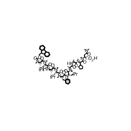 CC(C)C[C@H](NC(=O)[C@H](Cc1ccccc1)N(C)C(=O)[C@H](CC(C)C)N(C)C(=O)[C@H](C)NC(=O)[C@H](CC(C)C)N(C)C(=O)[C@H](C)N(C)C(=O)OCC1c2ccccc2-c2ccccc21)C(=O)N(C)[C@@H](C)C(=O)N[C@@H](C)C(=O)N(C)[C@H](C(=O)N(C)C(CC(=O)N(C)C)C(=O)O)C1CCCC1